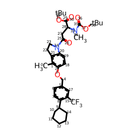 Cc1c(OCc2ccc(C3CCCCC3)c(C(F)(F)F)c2)ccc2c1CCN2C(=O)CC(C(=O)OC(C)(C)C)N(C)C(=O)OC(C)(C)C